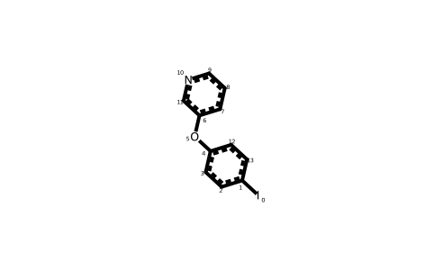 Ic1ccc(Oc2cccnc2)cc1